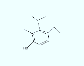 CCc1ccc(O)c(C)c1C(C)C